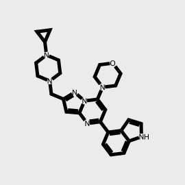 c1cc(-c2cc(N3CCOCC3)n3nc(CN4CCN(C5CC5)CC4)cc3n2)c2cc[nH]c2c1